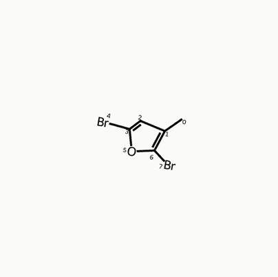 Cc1cc(Br)oc1Br